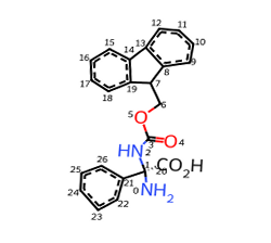 N[C@@](NC(=O)OCC1c2ccccc2-c2ccccc21)(C(=O)O)c1ccccc1